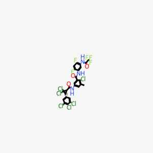 Cc1cc(NC(=O)C2[C@H](c3cc(Cl)c(Cl)c(Cl)c3)C2(Cl)Cl)cc(C(=O)Nc2cc(NC(=O)C(F)(F)F)c(F)cc2F)c1Cl